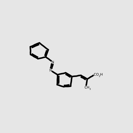 CC(=Cc1cccc(N=Nc2ccccc2)c1)C(=O)O